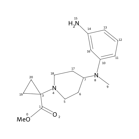 COC(=O)C1(N2CCC(N(C)c3cccc(N)c3)CC2)CC1